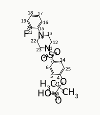 CC(C)(Oc1ccc(S(=O)(=O)N2CCN(c3ccccc3F)CC2)cc1)C(=O)O